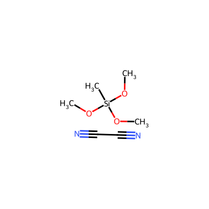 CO[Si](C)(OC)OC.N#CC#N